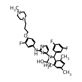 Cc1cc(C)c(C(c2cc(F)cc(F)c2)N(C(=O)O)c2ccnc(Nc3ccc(OCCCN4CCN(C)CC4)c(F)c3)n2)c(C)c1